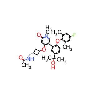 CC(=O)NC[C@H]1C[C@H](Oc2cc(=O)n(C)cc2-c2cc(C(C)(C)O)ccc2Oc2c(C)cc(F)cc2C)C1